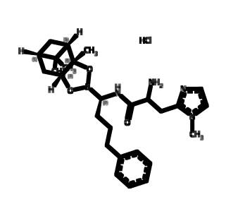 Cl.Cn1ccnc1CC(N)C(=O)N[C@@H](CCCc1ccccc1)B1O[C@@H]2C[C@@H]3C[C@@H](C3(C)C)[C@]2(C)O1